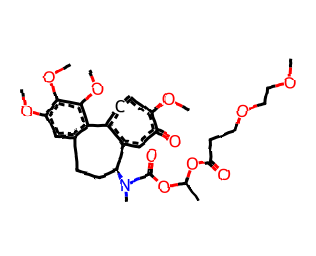 COCCOCCC(=O)OC(C)OC(=O)N(C)[C@H]1CCc2cc(OC)c(OC)c(OC)c2-c2ccc(OC)c(=O)cc21